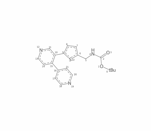 CC(C)(C)OC(=O)NCc1ccc(-c2cnccc2-c2ccncc2)s1